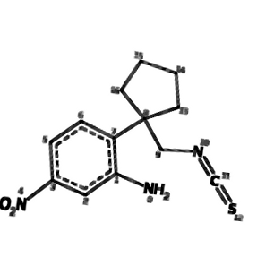 Nc1cc([N+](=O)[O-])ccc1C1(CN=C=S)CCCC1